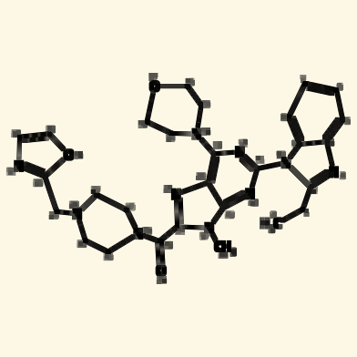 CCc1nc2ccccc2n1-c1nc(N2CCOCC2)c2nc(C(=O)N3CCN(Cc4ncco4)CC3)n(C)c2n1